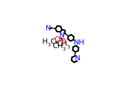 CC(C)(C)OC(=O)n1c(-c2ccc(Nc3ccc(-c4ccccn4)cc3)cc2)cc2ccc(C#N)cc21